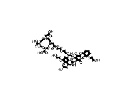 Cc1cn(Cc2c(Cl)cccc2OCCO)c(=O)c(NC(=O)N[C@@H](CC(=O)O)c2cccc(OCCO)c2)c1OCCOCCOCCNC(=O)CN1CCN(CC(=O)O)CCN(C(=O)O)CCN(C(=O)O)CC1